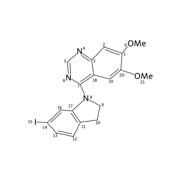 COc1cc2ncnc(N3CCc4ccc(I)cc43)c2cc1OC